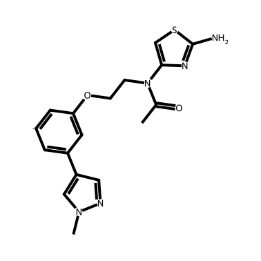 CC(=O)N(CCOc1c[c]cc(-c2cnn(C)c2)c1)c1csc(N)n1